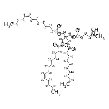 CCCC/C=C\CCCCCCCC(=O)OCC(COC(=O)CCCCCCC/C=C\CCCC)(COC(=O)CCCCCCCCC)COC(=O)CCCN(C)C